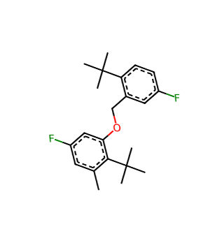 Cc1cc(F)cc(OCc2cc(F)ccc2C(C)(C)C)c1C(C)(C)C